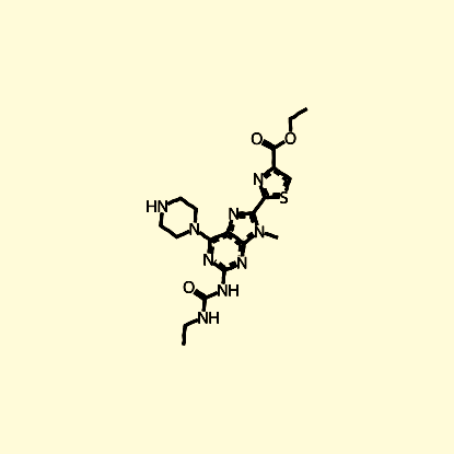 CCNC(=O)Nc1nc(N2CCNCC2)c2nc(-c3nc(C(=O)OCC)cs3)n(C)c2n1